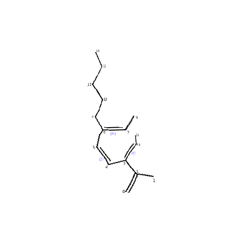 C=C(C)C(/C=C\C(=C\C)CCCCC)=C/C